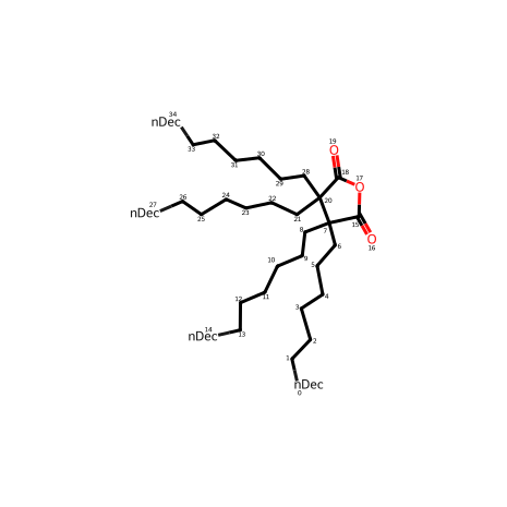 CCCCCCCCCCCCCCCCC1(CCCCCCCCCCCCCCCC)C(=O)OC(=O)C1(CCCCCCCCCCCCCCCC)CCCCCCCCCCCCCCCC